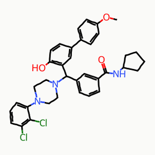 COc1ccc(-c2ccc(O)c(C(c3cccc(C(=O)NC4CCCC4)c3)N3CCN(c4cccc(Cl)c4Cl)CC3)c2)cc1